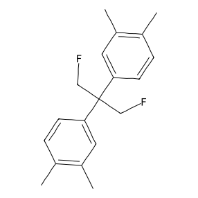 Cc1ccc(C(CF)(CF)c2ccc(C)c(C)c2)cc1C